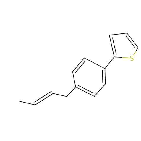 CC=CCc1ccc(-c2cccs2)cc1